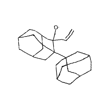 C=CC1([O])C2CC3CC(C2)CC1(C12CC4CC(CC(C4)C1)C2)C3